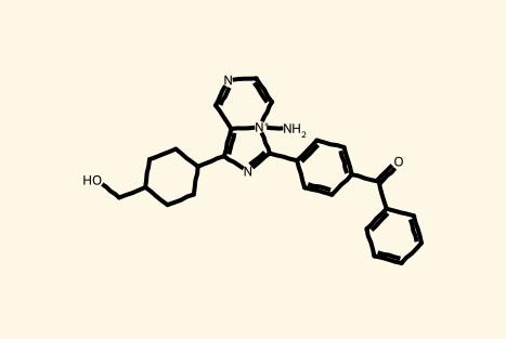 N[N+]12C=CN=CC1=C(C1CCC(CO)CC1)N=C2c1ccc(C(=O)c2ccccc2)cc1